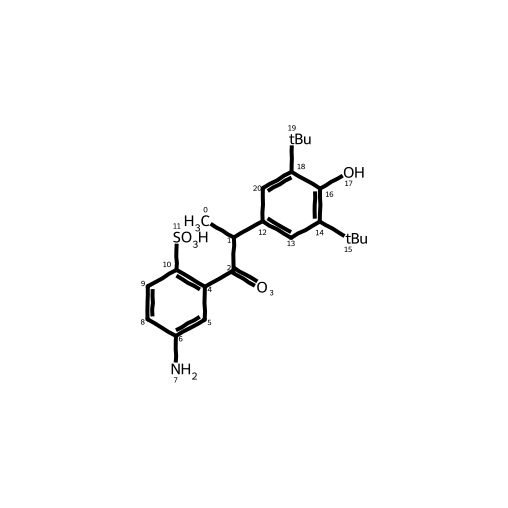 CC(C(=O)c1cc(N)ccc1S(=O)(=O)O)c1cc(C(C)(C)C)c(O)c(C(C)(C)C)c1